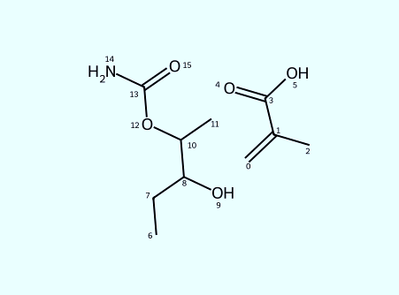 C=C(C)C(=O)O.CCC(O)C(C)OC(N)=O